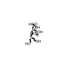 O=P(O)(O)CN(CCCN(CCO)CCO)CP(=O)(O)O